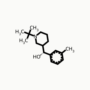 Cc1cccc([C@H](O)C2CCCN(C(C)(C)C)C2)c1